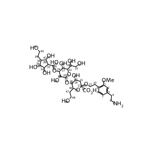 COc1cc(CCN)ccc1CCO[C@]1(C(=O)O)C[C@@H](O)[C@@H](O[C@H]2OC([C@@H](O)CO)[C@@H](O)C(O[C@@H](O)C3C(O)[C@H](O)C(CCO)[C@H]3O)[C@H]2O)C(CCO)O1